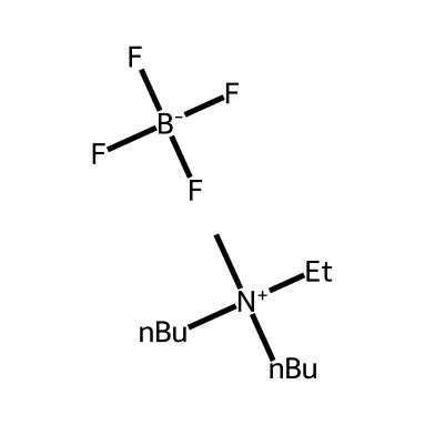 CCCC[N+](C)(CC)CCCC.F[B-](F)(F)F